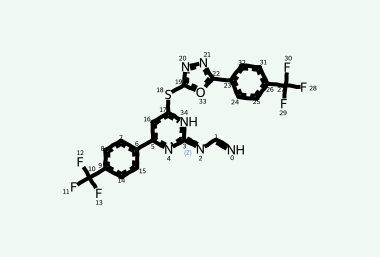 N=C/N=c1/nc(-c2ccc(C(F)(F)F)cc2)cc(Sc2nnc(-c3ccc(C(F)(F)F)cc3)o2)[nH]1